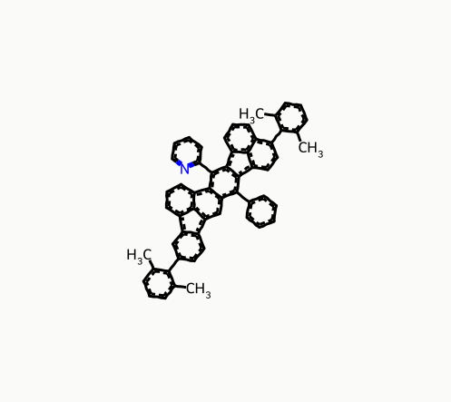 Cc1cccc(C)c1-c1ccc2c(c1)c1cccc3c4c(-c5ccccn5)c5c6cccc7c(-c8c(C)cccc8C)ccc(c5c(-c5ccccc5)c4cc2c13)c76